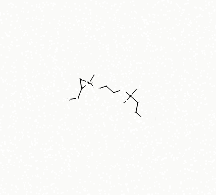 CC(C)(CCC(=O)O)OCCOC1(C)CC1CN